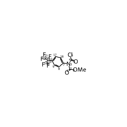 COC(=O)N(C(=O)Cl)c1ccc(S(F)(F)(F)(F)F)cc1